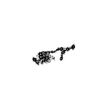 C[C@@H](C(=O)N[C@H](C(=O)N1Cc2cc(OCCOCCOCCOCCOc3ccc(Oc4c(-c5ccc(OCc6ccccc6)cc5)sc5cc(OCc6ccccc6)ccc45)cc3)ccc2C[C@H]1C(=O)N[C@@H]1CCCc2ccccc21)C(C)(C)C)N(C)C(=O)OC(C)(C)C